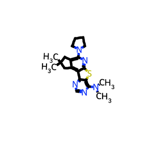 CN(C)c1ncnc2c1sc1nc(N3CCCC3)c3c(c12)CC(C)(C)C3